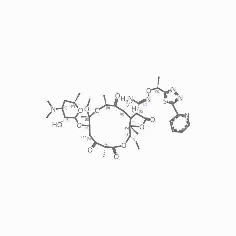 CC[C@@H]1OC(=O)[C@H](C)C(=O)[C@H](C)[C@@H](OC2O[C@H](C)C[C@H](N(C)C)[C@H]2O)[C@](C)(OC)C[C@@H](C)C(=O)[C@H](C)[C@H]2[C@H](/C(N)=N/O[C@@H](C)c3nnc(-c4ccccn4)s3)C(=O)O[C@@]21C